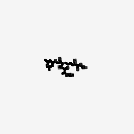 COC(C)C(=O)N[C@@H](CCCCNC(=O)OC(C)(C)C)C(=O)COc1cc(C)nc(C)c1